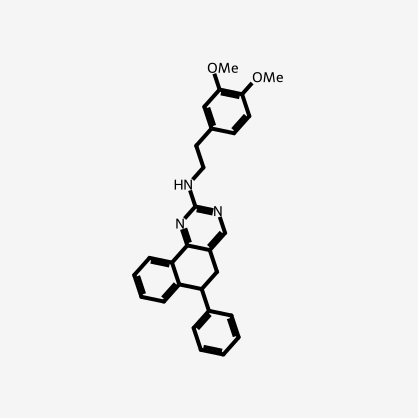 COc1ccc(CCNc2ncc3c(n2)-c2ccccc2C(c2ccccc2)C3)cc1OC